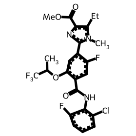 CCc1c(C(=O)OC)nc(-c2cc(OC(C)C(F)(F)F)c(C(=O)Nc3c(F)cccc3Cl)cc2F)n1C